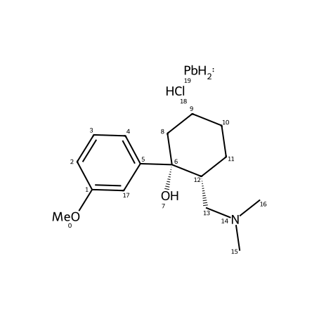 COc1cccc([C@@]2(O)CCCC[C@@H]2CN(C)C)c1.Cl.[PbH2]